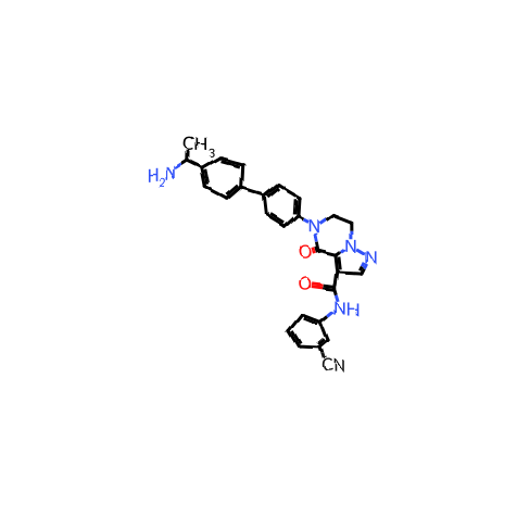 CC(N)c1ccc(-c2ccc(N3CCn4ncc(C(=O)Nc5cccc(C#N)c5)c4C3=O)cc2)cc1